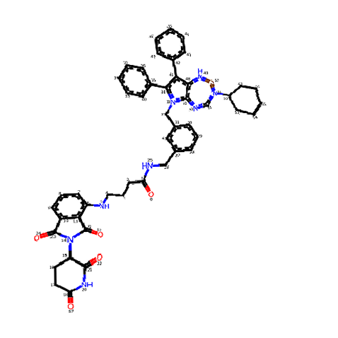 O=C(CCCNc1cccc2c1C(=O)N(C1CCC(=O)NC1=O)C2=O)NCc1cccc(Cn2c(-c3ccccc3)c(-c3ccccc3)c3[nH]sn(C4CCCCC4)cnc32)c1